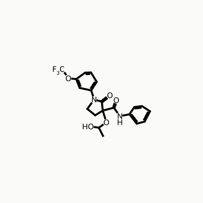 CC(O)OC1(C(=O)Nc2ccccc2)CCN(c2cccc(OC(F)(F)F)c2)C1=O